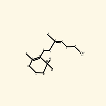 CC1=C(CC/C(C)=C\CCO)C(C)(C)CCC1